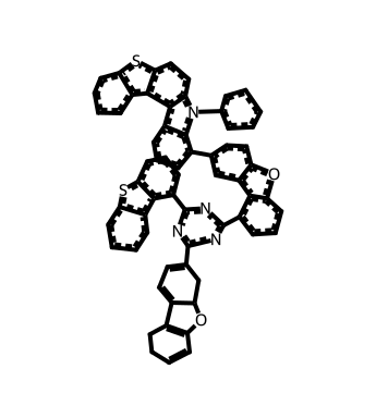 C1=CC2=C(CC1)C1=CC=C(c3nc(-c4cccc5oc6ccc(-c7cccc8c9c%10c(ccc9n(-c9ccccc9)c78)sc7ccccc7%10)cc6c45)nc(-c4cccc5sc6ccccc6c45)n3)CC1O2